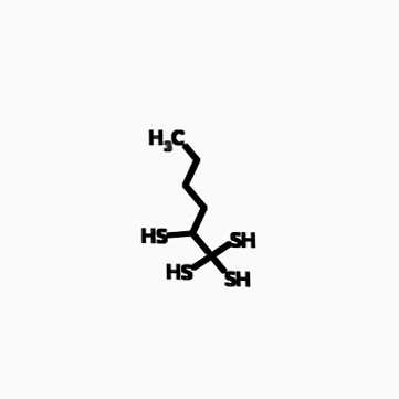 CCCCC(S)C(S)(S)S